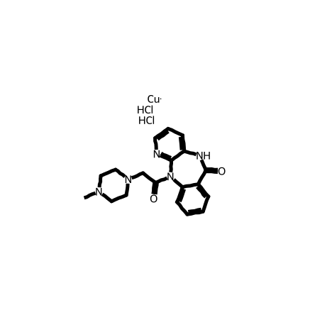 CN1CCN(CC(=O)N2c3ccccc3C(=O)Nc3cccnc32)CC1.Cl.Cl.[Cu]